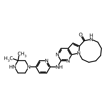 CC1(C)CN(c2ccc(Nc3ncc4cc5n(c4n3)CCCCCCNC5=O)nc2)CCN1